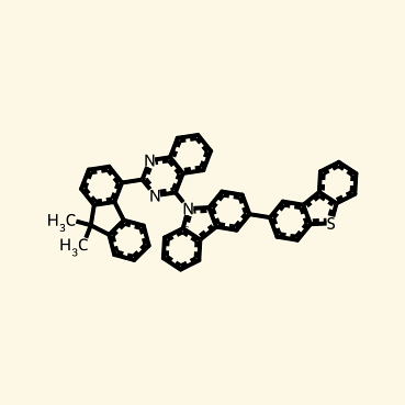 CC1(C)c2ccccc2-c2c(-c3nc(-n4c5ccccc5c5cc(-c6ccc7sc8ccccc8c7c6)ccc54)c4ccccc4n3)cccc21